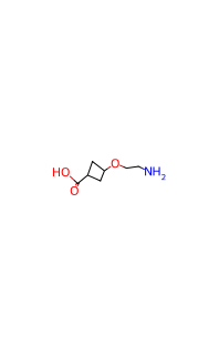 NCCOC1CC(C(=O)O)C1